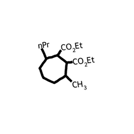 CCCC1CCCC(C)C(C(=O)OCC)C1C(=O)OCC